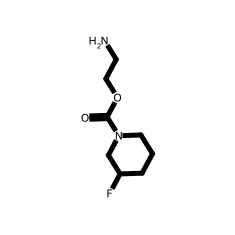 NCCOC(=O)N1CCCC(F)C1